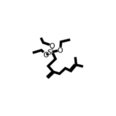 C=C(CCC=C(C)C)CC[Si](OCC)(OCC)OCC